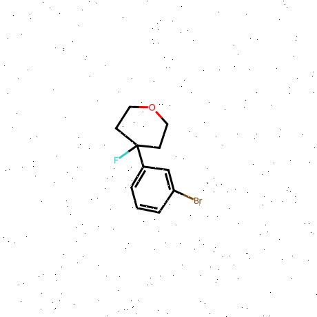 FC1(c2cccc(Br)c2)CCOCC1